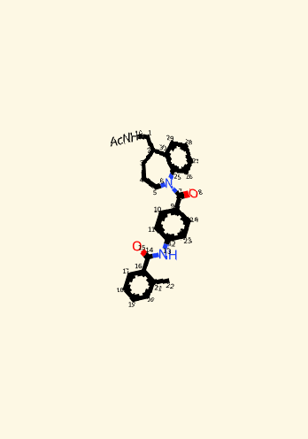 CC(=O)NCC1CCCN(C(=O)c2ccc(NC(=O)c3ccccc3C)cc2)c2ccccc21